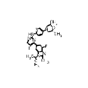 Cc1nc2c(F)cc(-c3nc(Nc4ccc(N5C[C@@H](C)O[C@@H](C)C5)cn4)ncc3F)cc2n1C(C)C